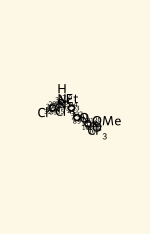 CCC(c1ccc(-c2cccc(Oc3ccc(C(F)(F)F)c(C(=O)OC)c3)c2)cc1)c1nc(-c2ccc(Cl)cc2Cl)c[nH]1